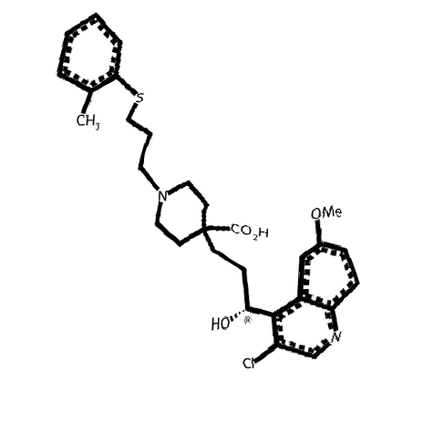 COc1ccc2ncc(Cl)c([C@H](O)CCC3(C(=O)O)CCN(CCCSc4ccccc4C)CC3)c2c1